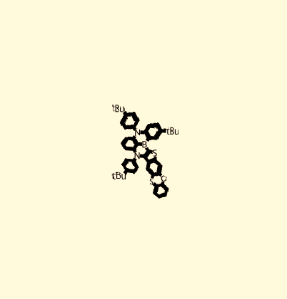 CC(C)(C)c1ccc(N2c3ccc(C(C)(C)C)cc3B3c4sc5cc6c(cc5c4N(c4ccc(C(C)(C)C)cc4)c4cccc2c43)Sc2ccccc2O6)cc1